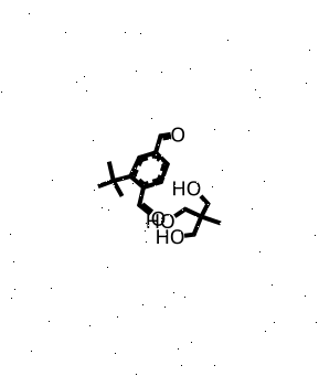 CC(C)(C)c1cc(C=O)ccc1C=O.CC(CO)(CO)CO